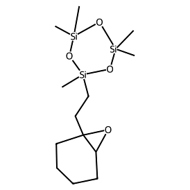 C[Si]1(C)O[Si](C)(C)O[Si](C)(CCC23CCCCC2O3)O1